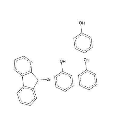 Oc1ccccc1.Oc1ccccc1.Oc1ccccc1.[Zr][CH]1c2ccccc2-c2ccccc21